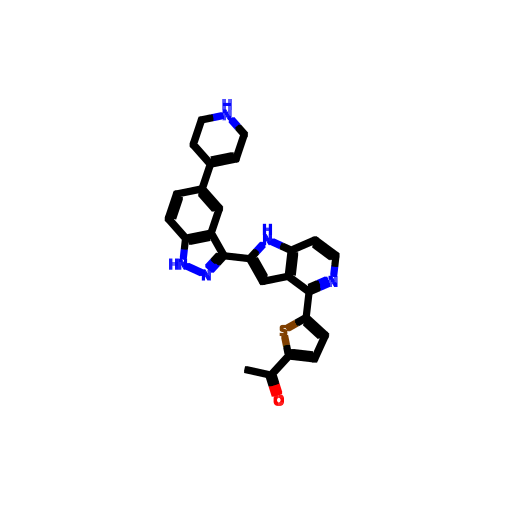 CC(=O)c1ccc(-c2nccc3[nH]c(-c4n[nH]c5ccc(C6=CCNCC6)cc45)cc23)s1